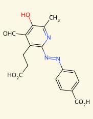 Cc1nc(/N=N/c2ccc(C(=O)O)cc2)c(CCC(=O)O)c(C=O)c1O